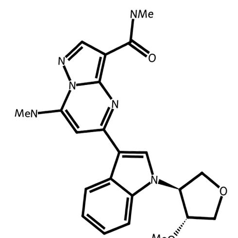 CNC(=O)c1cnn2c(NC)cc(-c3cn([C@H]4COC[C@@H]4OC)c4ccccc34)nc12